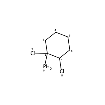 PC1(Cl)CCCCC1Cl